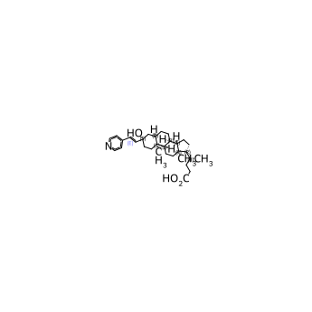 C[C@H](CCC(=O)O)[C@H]1CC[C@H]2[C@@H]3CC[C@@H]4C[C@](O)(/C=C/c5ccncc5)CC[C@]4(C)[C@H]3CC[C@]12C